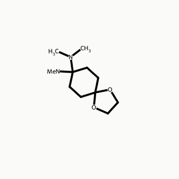 CNC1(N(C)C)CCC2(CC1)OCCO2